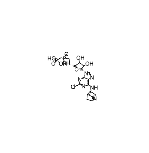 O=P(O)(O)CP(=O)(O)CC[C@H]1O[C@@H](n2cnc3c(NC4CN5CCC4CC5)nc(Cl)nc32)C(O)C1O